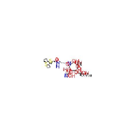 CC[C@H]1OC(=O)[C@H](C)[C@@H](O[C@H]2C[C@@](C)(OC)[C@@H](O)[C@H](C)O2)[C@H](C)[C@@H](O[C@@H]2O[C@H](C)C[C@H](N(C)C)[C@H]2O)[C@](C)(O)C[C@@H](C)/C(=N\OCCCCCNC(=O)/C=C/c2cc3c(s2)-c2ccccc2Sc2ccccc2-3)[C@H](C)[C@@H](O)[C@]1(C)O